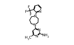 Cc1cc(N2CCCN(c3ncccc3C(F)(F)F)CC2)nc(N)n1